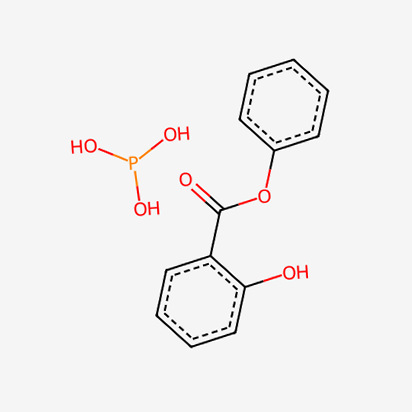 O=C(Oc1ccccc1)c1ccccc1O.OP(O)O